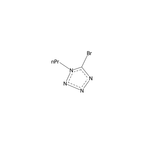 CCCn1nnnc1Br